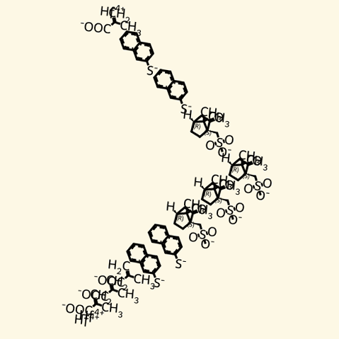 C=C(C)C(=O)[O-].C=C(C)C(=O)[O-].C=C(C)C(=O)[O-].C=C(C)C(=O)[O-].CC1(C)[C@@H]2CC[C@@]1(CS(=O)(=O)[O-])C(=O)C2.CC1(C)[C@@H]2CC[C@@]1(CS(=O)(=O)[O-])C(=O)C2.CC1(C)[C@@H]2CC[C@@]1(CS(=O)(=O)[O-])C(=O)C2.CC1(C)[C@@H]2CC[C@@]1(CS(=O)(=O)[O-])C(=O)C2.[Hf+4].[Hf+4].[Hf+4].[S-]c1ccc2ccccc2c1.[S-]c1ccc2ccccc2c1.[S-]c1ccc2ccccc2c1.[S-]c1ccc2ccccc2c1